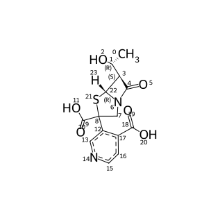 C[C@@H](O)[C@H]1C(=O)N2CC(C(=O)O)(c3cnccc3C(=O)O)S[C@H]12